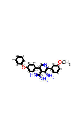 COc1cccc(-c2ncc(-c3ccc(Oc4ccccc4)cc3)c(C(=N)N)c2N)c1